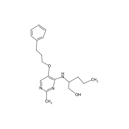 CCCC(CO)Nc1nc(C)ncc1OCCCc1ccccc1